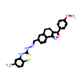 FC(F)(F)Oc1ccc(-c2onc3c2CCc2cc(/C=N/NC(=S)Nc4cc(C(F)(F)F)ccc4Cl)ccc2-3)cc1